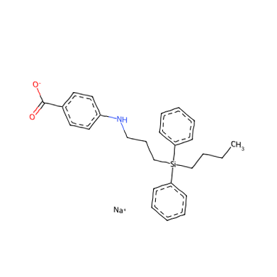 CCCC[Si](CCCNc1ccc(C(=O)[O-])cc1)(c1ccccc1)c1ccccc1.[Na+]